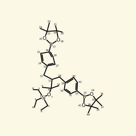 CC[Si](CC)(CC)OC(C)(C)C(Cc1ccc(B2OC(C)(C)C(C)(C)O2)cc1)Cc1ccc(B2OC(C)(C)C(C)(C)O2)cc1